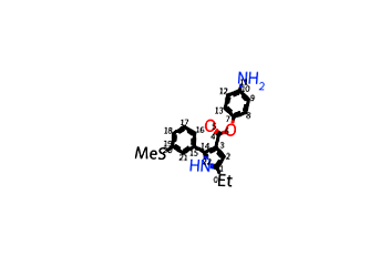 CCc1cc(C(=O)Oc2ccc(N)cc2)c(-c2cccc(SC)c2)[nH]1